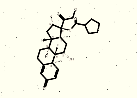 C[C@H]1C[C@H]2[C@@H]3CCC4=CC(=O)C=C[C@]4(C)[C@@]3(F)[C@@H](O)C[C@]2(C)[C@@]1(OC(=O)C1CCCC1)C(=O)CCl